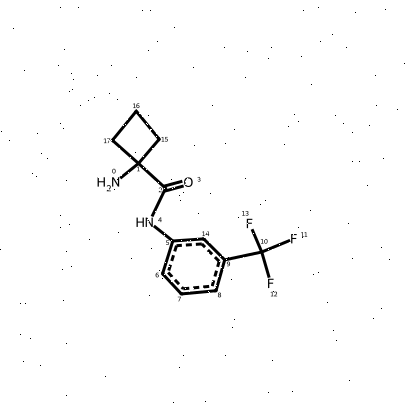 NC1(C(=O)Nc2cccc(C(F)(F)F)c2)CCC1